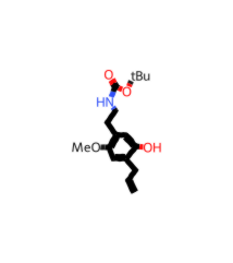 C=CCc1cc(OC)c(CCNC(=O)OC(C)(C)C)cc1O